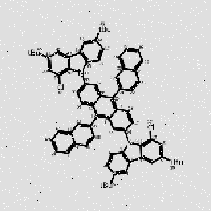 CC(C)(C)c1ccc2c(c1)c1cc(C(C)(C)C)cc(Cl)c1n2-c1ccc2c(-c3ccc4ccccc4c3)c3cc(-n4c5ccc(C(C)(C)C)cc5c5cc(C(C)(C)C)cc(Cl)c54)ccc3c(-c3ccc4ccccc4c3)c2c1